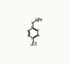 CCc1ccc(CC(C)C)cc1